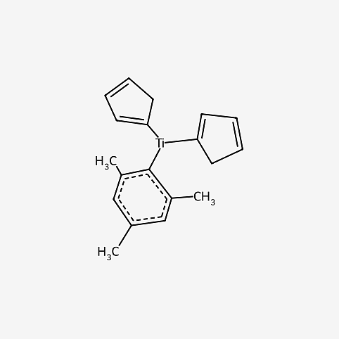 Cc1cc(C)[c]([Ti]([C]2=CC=CC2)[C]2=CC=CC2)c(C)c1